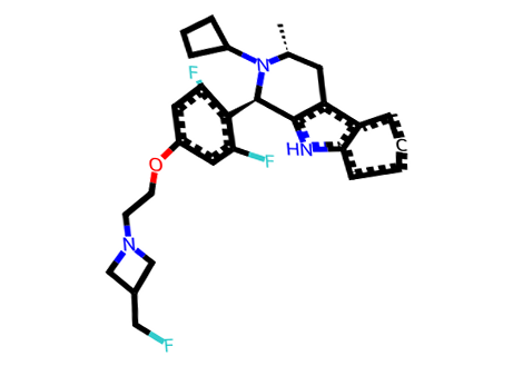 C[C@@H]1Cc2c([nH]c3ccccc23)[C@@H](c2c(F)cc(OCCN3CC(CF)C3)cc2F)N1C1CCC1